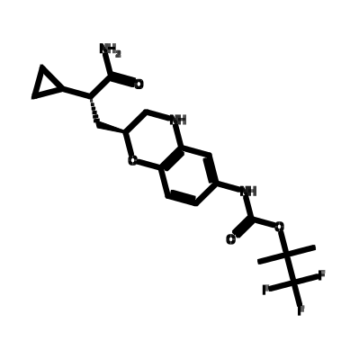 CC(C)(OC(=O)Nc1ccc2c(c1)NC[C@H](C[C@@H](C(N)=O)C1CC1)O2)C(F)(F)F